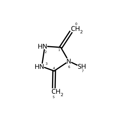 C=C1NNC(=C)N1S